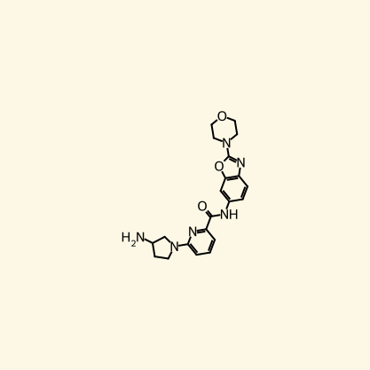 NC1CCN(c2cccc(C(=O)Nc3ccc4nc(N5CCOCC5)oc4c3)n2)C1